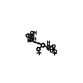 CC(C)(C)OC(=O)N1CCC[C@H]1c1ncc(-c2ccc(C#CC#Cc3cnc([C@@H]4CCCN4C(=O)O)[nH]3)c(-c3cccc(C(C)(C)C)c3)c2)[nH]1